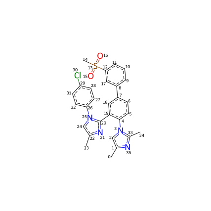 Cc1cn(-c2ccc(-c3cccc(S(C)(=O)=O)c3)cc2-c2nc(C)cn2-c2ccc(Cl)cc2)c(C)n1